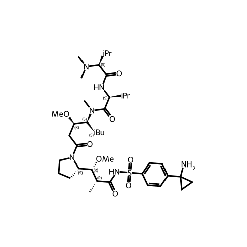 CC[C@H](C)[C@@H]([C@@H](CC(=O)N1CCC[C@H]1[C@H](OC)[C@@H](C)C(=O)NS(=O)(=O)c1ccc(C2(N)CC2)cc1)OC)N(C)C(=O)[C@@H](NC(=O)[C@H](C(C)C)N(C)C)C(C)C